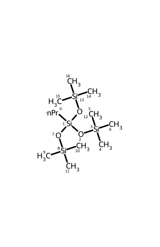 CC[CH][Si](O[Si](C)(C)C)(O[Si](C)(C)C)O[Si](C)(C)C